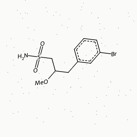 COC(Cc1cccc(Br)c1)CS(N)(=O)=O